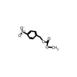 COC(=O)OCc1ccc([N+](=O)[O-])cc1